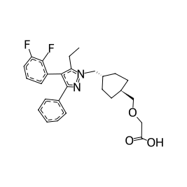 CCc1c(-c2cccc(F)c2F)c(-c2ccccc2)nn1C[C@H]1CC[C@H](COCC(=O)O)CC1